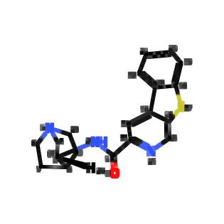 O=C(N[C@H]1CN2CCC1CC2)c1cc2c(cn1)sc1ccccc12